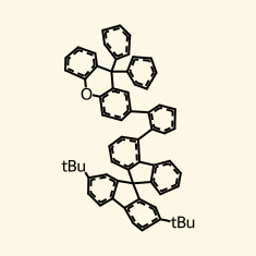 CC(C)(C)c1ccc2c(c1)C1(c3cc(C(C)(C)C)ccc3-2)c2ccccc2-c2c(-c3ccccc3-c3ccc4c(c3)C(c3ccccc3)(c3ccccc3)c3ccccc3O4)cccc21